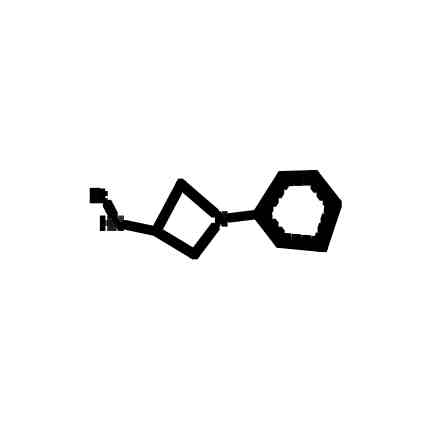 CCNC1CN(c2ccccc2)C1